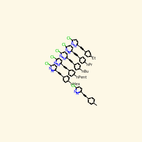 CCCCCCc1ccc(C#Cc2ccc(Cl)nn2)cc1.CCCCCc1ccc(C#Cc2ccc(Cl)nn2)cc1.CCCCc1ccc(C#Cc2ccc(Cl)nn2)cc1.CCCc1ccc(C#Cc2ccc(Cl)nn2)cc1.CCc1ccc(C#Cc2ccc(Cl)nn2)cc1.Cc1ccc(C#Cc2ccc(Cl)nn2)cc1